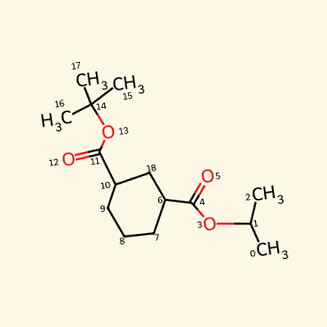 CC(C)OC(=O)C1CCCC(C(=O)OC(C)(C)C)C1